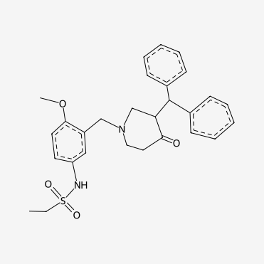 CCS(=O)(=O)Nc1ccc(OC)c(CN2CCC(=O)C(C(c3ccccc3)c3ccccc3)C2)c1